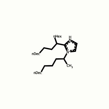 CCCCCCCCCCCCCC(C)[n+]1cc[nH]c1C(CCCCCC)CCCCCCCCCCCC